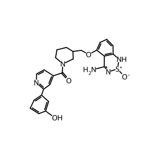 NC1=N[S+]([O-])Nc2cccc(OCC3CCCN(C(=O)c4ccnc(-c5cccc(O)c5)c4)C3)c21